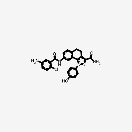 NC(=O)c1nn(-c2ccc(O)cc2)c2c1CCc1ccc(NC(=O)c3cc(N)ccc3Cl)cc1-2